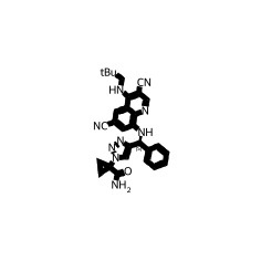 CC(C)(C)CNc1c(C#N)cnc2c(N[C@@H](c3ccccc3)c3cn(C4(C(N)=O)CC4)nn3)cc(C#N)cc12